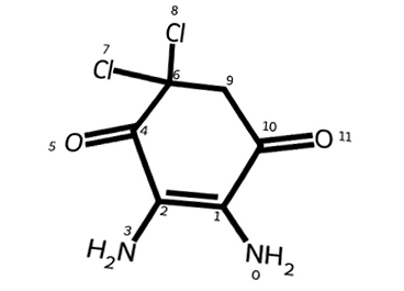 NC1=C(N)C(=O)C(Cl)(Cl)CC1=O